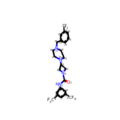 O=C(Nc1cc(C(F)(F)F)cc(C(F)(F)F)c1)N1CC(N2CCN(Cc3cccc(C(F)(F)F)c3)CC2)C1